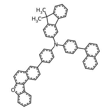 CC1(C)c2ccccc2-c2cc(N(c3ccc(-c4ccc5c(ccc6oc7ccccc7c65)c4)cc3)c3ccc(-c4cccc5ccccc45)cc3)ccc21